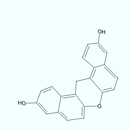 Oc1ccc2c3c(ccc2c1)Oc1ccc2cc(O)ccc2c1C3